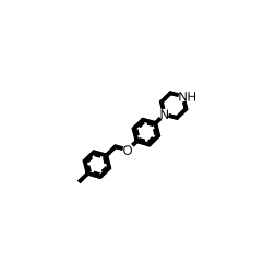 Cc1ccc(COc2ccc(N3CCNCC3)cc2)cc1